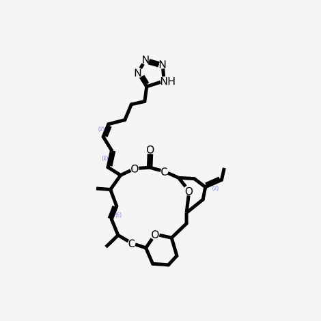 C/C=C1\CC2CC(=O)OC(/C=C/C=C\CCCc3nnn[nH]3)C(C)/C=C/C(C)CC3CCCC(CC(C1)O2)O3